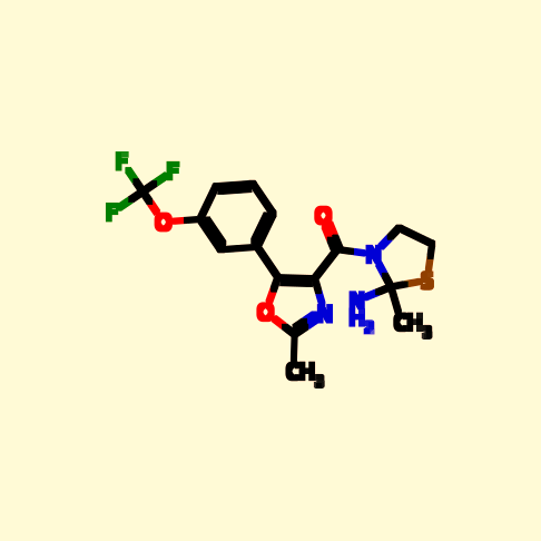 Cc1nc(C(=O)N2CCSC2(C)N)c(-c2cccc(OC(F)(F)F)c2)o1